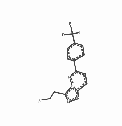 CCCc1nnc2ccc(-c3ccc(C(F)(F)F)cc3)nn12